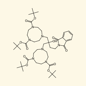 CC(C)(C)OC(=O)N1CCN(CC(O)(CCN2C(=O)c3ccccc3C2=O)CN2CCN(C(=O)OC(C)(C)C)CCN(C(=O)OC(C)(C)C)CC2)CCN(C(=O)OC(C)(C)C)CC1